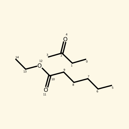 CCC(C)=O.CCCCCC(=O)OCC